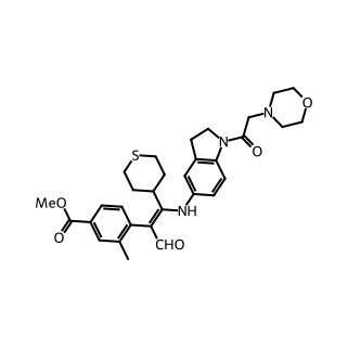 COC(=O)c1ccc(/C(C=O)=C(/Nc2ccc3c(c2)CCN3C(=O)CN2CCOCC2)C2CCSCC2)c(C)c1